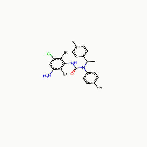 CCc1c(N)cc(Cl)c(CC)c1NC(=O)N(c1ccc(C(C)C)cc1)C(C)c1ccc(C)cc1